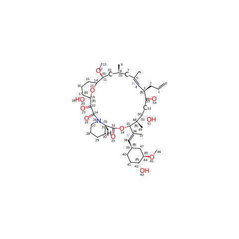 C=CC[C@@H]1/C=C(\C)C[C@H](C)C[C@H](OC)C2CC[C@@H](C)[C@@](O)(O2)C(=O)C(=O)N2CCCC[C@H]2C(=O)OC(/C(C)=C/[C@@H]2CC[C@@H](O)[C@H](OC)C2)[C@H](C)[C@@H](O)CC1=O